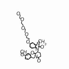 COc1ccc(CN2C(=O)CCC(n3c(=O)n(C)c4cc(OCCOCCOCCOCC=O)ccc43)C2=O)cc1